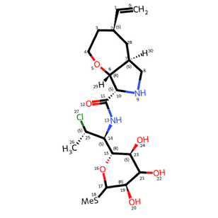 C=C[C@@H]1CCO[C@@H]2[C@H](CN[C@@H]2C(=O)N[C@@H]([C@H]2OC(SC)[C@H](O)C(O)[C@@H]2O)[C@H](C)Cl)C1